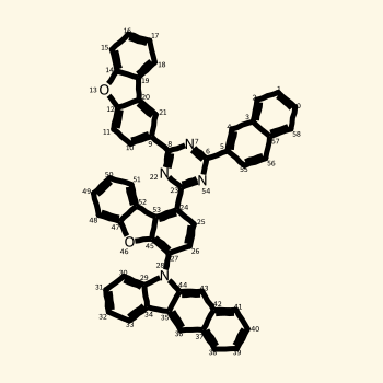 c1ccc2cc(-c3nc(-c4ccc5oc6ccccc6c5c4)nc(-c4ccc(-n5c6ccccc6c6cc7ccccc7cc65)c5oc6ccccc6c45)n3)ccc2c1